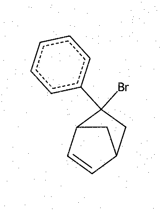 BrC1(c2ccccc2)CC2C=CC1C2